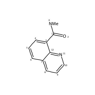 CNC(=O)c1cccc2cccnc12